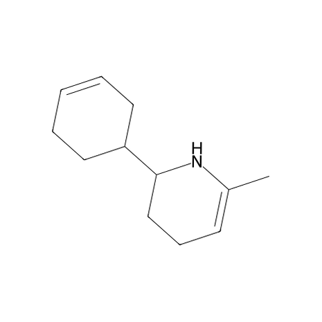 CC1=CCCC(C2CC=CCC2)N1